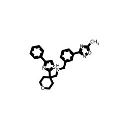 Cc1nc(-c2cccc(CNCC3(c4nc(-c5ccccc5)cs4)CCOCC3)c2)no1